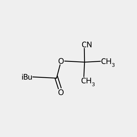 CCC(C)C(=O)OC(C)(C)C#N